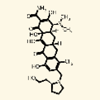 CN(C)[C@@H]1C(O)=C(C(N)=O)C(=O)[C@@]2(O)C(O)=C3C(=O)c4c(O)cc(CN5CCC[C@H]5CCO)c(C(F)(F)F)c4C[C@H]3C[C@@H]12